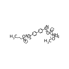 CCCCC(=O)N1CCC[C@H]1c1ncc(-c2ccc(-c3ccc(-c4cnc([C@@H]5CCCN5C(=O)[C@@H](CCC)NC(=O)C5CC5)s4)cc3)cc2)s1